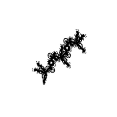 C=CCOCC(COCC=C)(COCC=C)COC(=O)c1ccc(C(=O)C(CC)(CC)OCC(COCC=C)(COCC=C)COC(=O)c2ccc(C(=O)C(CC)(CC)OCC(COCC=C)(COCC=C)COCC=C)cc2)cc1